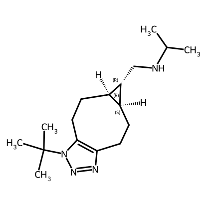 CC(C)NC[C@H]1[C@@H]2CCc3c(nnn3C(C)(C)C)CC[C@@H]21